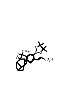 COC1(c2ccc(/C=C/C(=O)O)c(B3OC(C)(C)C(C)(C)O3)c2)OOC12C1CC3CC(C1)CC2C3